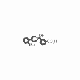 CC(C)(C)c1ccccc1C1CCN(C(O)c2cccc(C(=O)O)c2)CC1